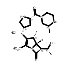 C[C@H]1CN(C(=O)[C@@H]2C[C@H](SC3=C(C(=O)O)N4C(=O)[C@H]([C@@H](C)O)[C@H]4[C@H]3C)CN2)CCN1.Cl